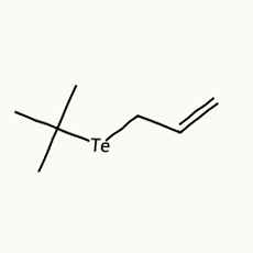 C=CC[Te]C(C)(C)C